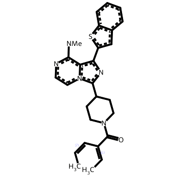 C/C=C\C(=C/C)C(=O)N1CCC(c2nc(-c3cc4ccccc4s3)c3c(NC)nccn23)CC1